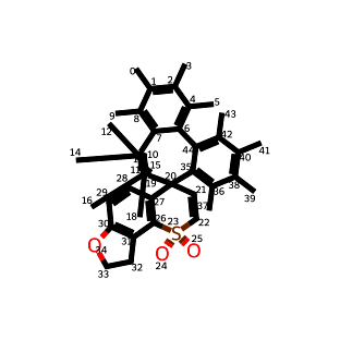 Cc1c(C)c(C)c2c(c1C)-c1c(C)c(C)c(C)c(C)c1C1(C=CS(=O)(=O)c3c1ccc1c3CCO1)c1c(C)c(C)c(C)c(C)c1-2